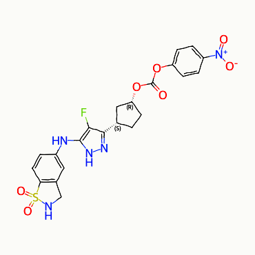 O=C(Oc1ccc([N+](=O)[O-])cc1)O[C@@H]1CC[C@H](c2n[nH]c(Nc3ccc4c(c3)CNS4(=O)=O)c2F)C1